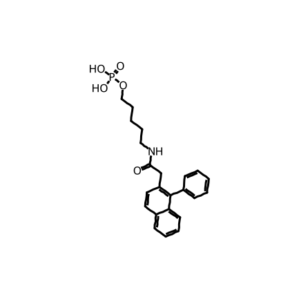 O=C(Cc1ccc2ccccc2c1-c1ccccc1)NCCCCCOP(=O)(O)O